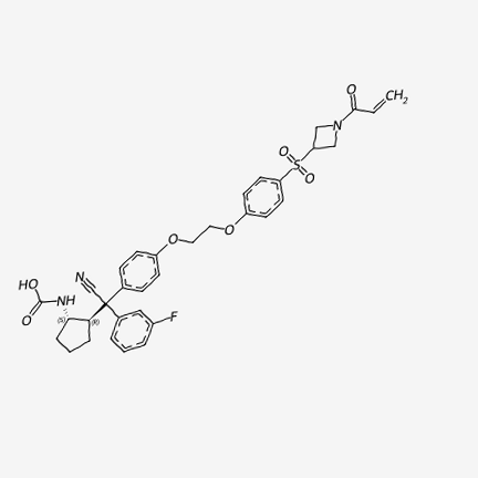 C=CC(=O)N1CC(S(=O)(=O)c2ccc(OCCOc3ccc(C(C#N)(c4cccc(F)c4)[C@H]4CCC[C@@H]4NC(=O)O)cc3)cc2)C1